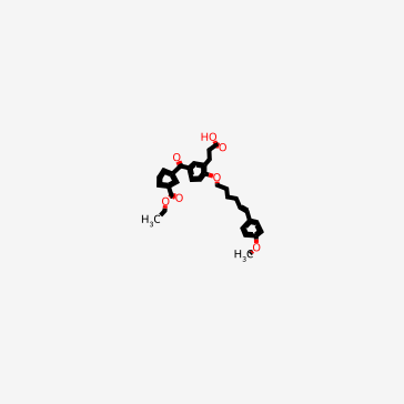 CCOC(=O)c1cccc(C(=O)c2ccc(OCCCCC=Cc3ccc(OC)cc3)c(CCC(=O)O)c2)c1